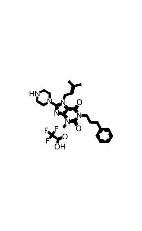 CC(C)=CCn1c(N2CCNCC2)nc2c1c(=O)n(CCCc1ccccc1)c(=O)n2C.O=C(O)C(F)(F)F